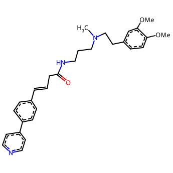 COc1ccc(CCN(C)CCCNC(=O)C/C=C/c2ccc(-c3ccncc3)cc2)cc1OC